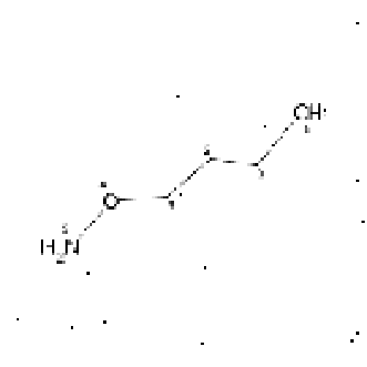 [CH]CCCON